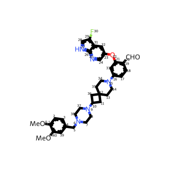 COc1ccc(CN2CCN(C3CC4(CCN(c5ccc(C=O)c(Oc6cnc7[nH]cc(F)c7c6)c5)CC4)C3)CC2)cc1OC